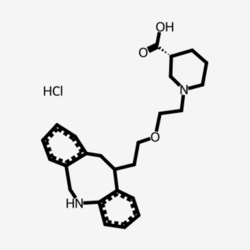 Cl.O=C(O)[C@@H]1CCCN(CCOCCC2Cc3ccccc3CNc3ccccc32)C1